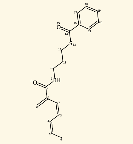 C=C(/C=C\C=C/C)C(=O)BCCCSC(=O)c1ccccc1